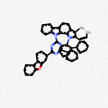 C/C=C\c1c(C)c2ccc3c4ccccc4n(-c4nc(-c5ccccc5)nc(-c5ccc6c(c5)oc5ccccc56)n4)c3c2n1-c1ccccc1-c1ccccc1